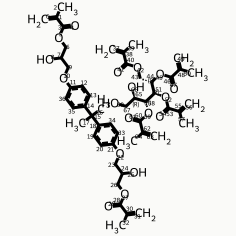 C=C(C)C(=O)OCC(O)COc1ccc(C(C)(C)c2ccc(OCC(O)COC(=O)C(=C)C)cc2)cc1.C=C(C)C(=O)OC[C@H](OC(=O)C(=C)C)[C@@H](OC(=O)C(=C)C)[C@H](OC(=O)C(=C)C)[C@H](O)CO